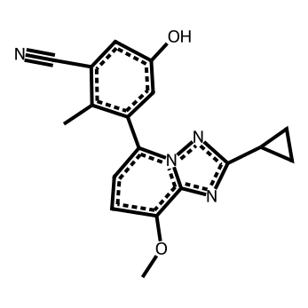 COc1ccc(-c2cc(O)cc(C#N)c2C)n2nc(C3CC3)nc12